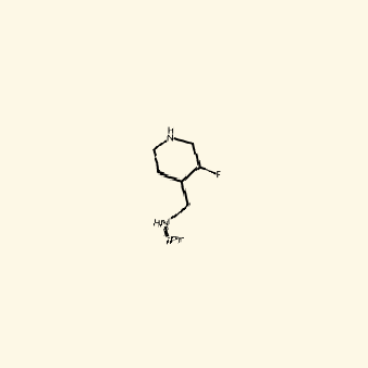 CC(C)NCC1CCNCC1F